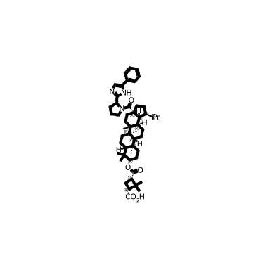 CC(C)[C@@H]1CC[C@]2(C(=O)N3CCCC3c3ncc(-c4ccccc4)[nH]3)CC[C@]3(C)[C@H](CC[C@@H]4[C@@]5(C)CC[C@H](OC(=O)[C@H]6C[C@@H](C(=O)O)C6(C)C)C(C)(C)[C@@H]5CC[C@]43C)[C@@H]12